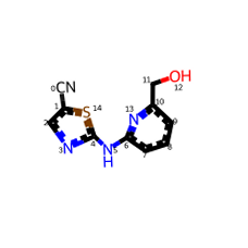 N#Cc1cnc(Nc2cccc(CO)n2)s1